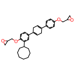 C1=C(c2ccc(OCC3CO3)cc2)CC=C(c2ccc(OCC3CO3)c(C3CCCCCCC3)c2)C1